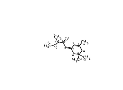 CON(C)C(=O)/C=C1\C=C(C)CC(C)(C)C1